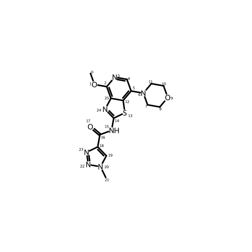 COc1ncc(N2CCOCC2)c2sc(NC(=O)c3cn(C)nn3)nc12